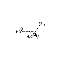 CC.CCCCCCC(C)CCCCCCC(=O)O